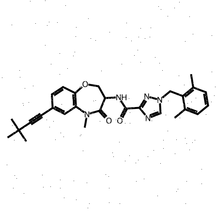 Cc1cccc(C)c1Cn1cnc(C(=O)NC2COc3ccc(C#CC(C)(C)C)cc3N(C)C2=O)n1